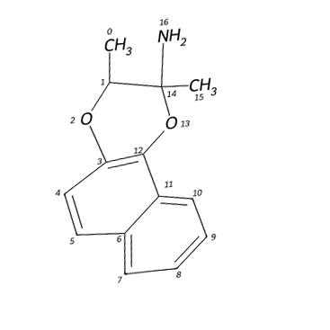 CC1Oc2ccc3ccccc3c2OC1(C)N